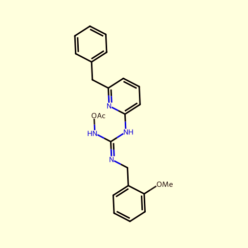 COc1ccccc1CN=C(NOC(C)=O)Nc1cccc(Cc2ccccc2)n1